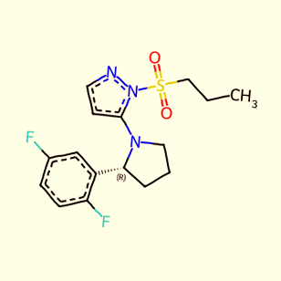 CCCS(=O)(=O)n1nccc1N1CCC[C@@H]1c1cc(F)ccc1F